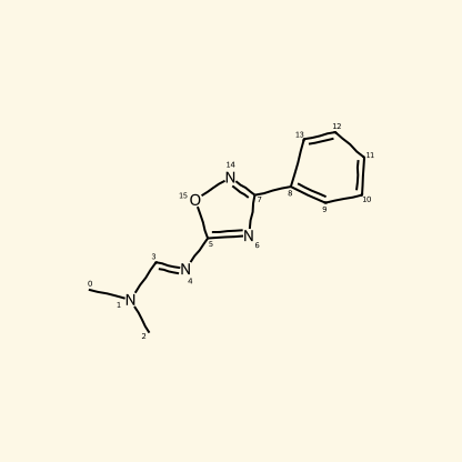 CN(C)C=Nc1nc(-c2ccccc2)no1